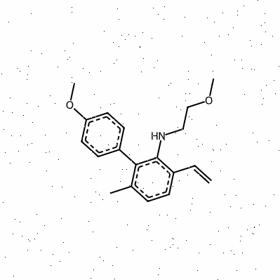 C=Cc1ccc(C)c(-c2ccc(OC)cc2)c1NCCOC